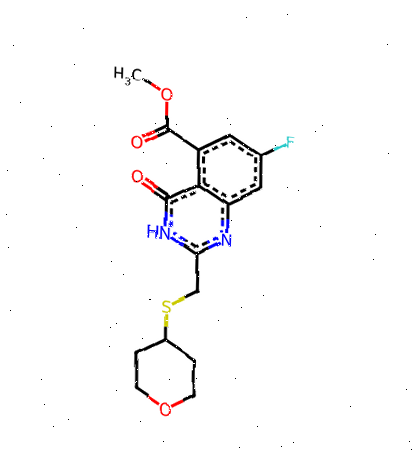 COC(=O)c1cc(F)cc2nc(CSC3CCOCC3)[nH]c(=O)c12